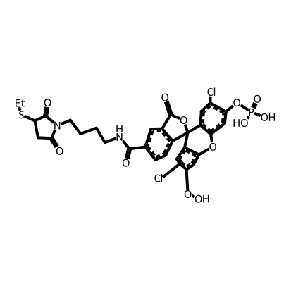 CCSC1CC(=O)N(CCCCNC(=O)c2ccc3c(c2)C(=O)OC32c3cc(Cl)c(OO)cc3Oc3cc(OP(=O)(O)O)c(Cl)cc32)C1=O